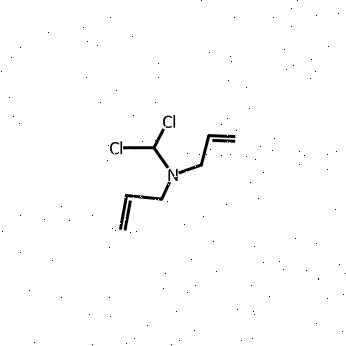 C=CCN(CC=C)C(Cl)Cl